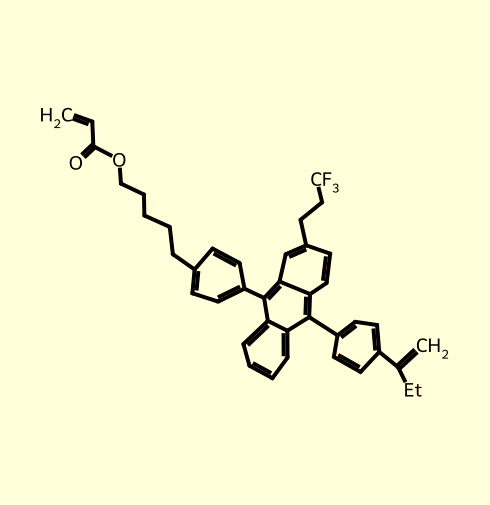 C=CC(=O)OCCCCCc1ccc(-c2c3ccccc3c(-c3ccc(C(=C)CC)cc3)c3ccc(CCC(F)(F)F)cc23)cc1